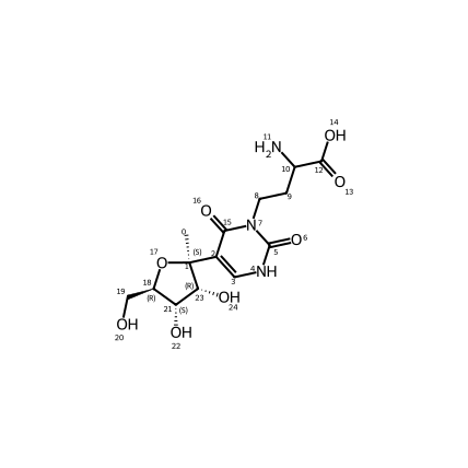 C[C@@]1(c2c[nH]c(=O)n(CCC(N)C(=O)O)c2=O)O[C@H](CO)[C@@H](O)[C@H]1O